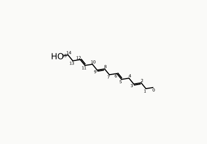 CCC=CCC=CCC=CCC=CCCO